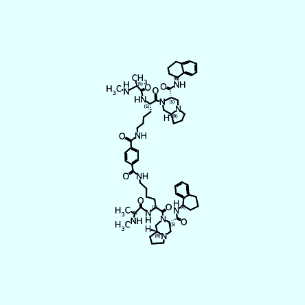 CN[C@@H](C)C(=O)N[C@@H](CCCCNC(=O)c1ccc(C(=O)NCCCC[C@H](NC(=O)[C@H](C)NC)C(=O)N2C[C@H]3CCCN3C[C@H]2C(=O)N[C@@H]2CCCc3ccccc32)cc1)C(=O)N1C[C@H]2CCCN2C[C@H]1C(=O)N[C@@H]1CCCc2ccccc21